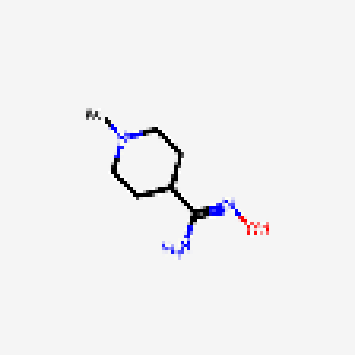 CC(=O)N1CCC(C(N)=NO)CC1